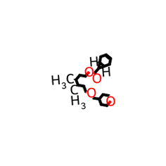 C[C@H](CCOCC1CCOCC1)[C@H](C)CCOC(=O)C1[C@@H]2CC=CC[C@@H]12